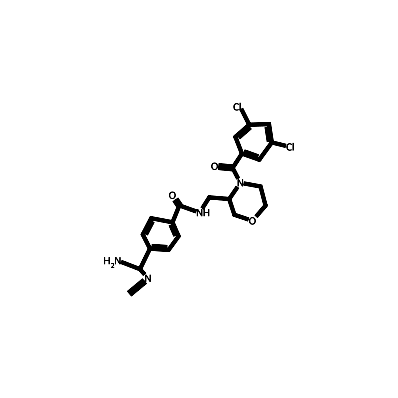 C=NC(N)c1ccc(C(=O)NCC2COCCN2C(=O)c2cc(Cl)cc(Cl)c2)cc1